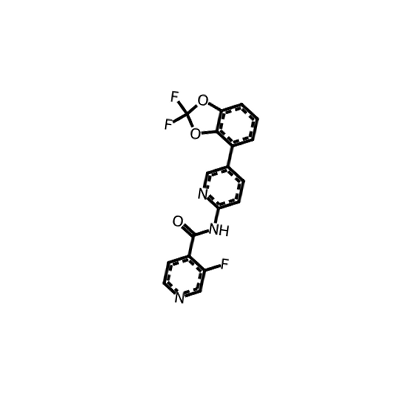 O=C(Nc1ccc(-c2cccc3c2OC(F)(F)O3)cn1)c1ccncc1F